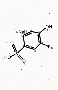 O=S(=O)(O)c1ccc(O)c(F)c1.[NaH]